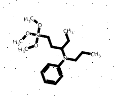 CCCN(c1ccccc1)C(CC)CC[Si](OC)(OC)OC